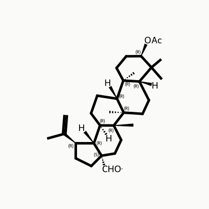 C=C(C)[C@@H]1CC[C@]2([C]=O)CC[C@]3(C)[C@H](CC[C@@H]4[C@@]5(C)CC[C@@H](OC(C)=O)C(C)(C)[C@@H]5CC[C@]43C)[C@@H]12